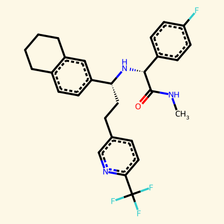 CNC(=O)[C@H](N[C@H](CCc1ccc(C(F)(F)F)nc1)c1ccc2c(c1)CCCC2)c1ccc(F)cc1